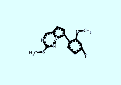 COc1cc(F)ccc1-c1ccc2cnc(SC)nn12